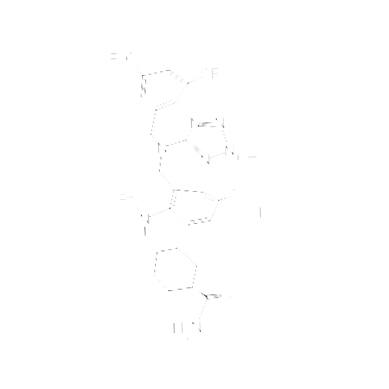 CCN(C[C@H]1CC[C@H](C(N)=O)CC1)c1ccc(OC(F)(F)F)cc1CN(Cc1cc(C(F)(F)F)cc(C(F)(F)F)c1)c1nnn(C)n1